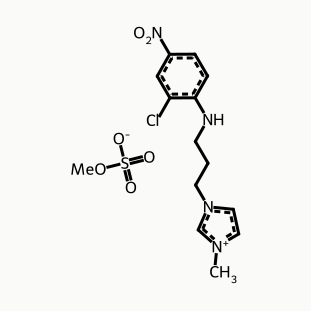 COS(=O)(=O)[O-].C[n+]1ccn(CCCNc2ccc([N+](=O)[O-])cc2Cl)c1